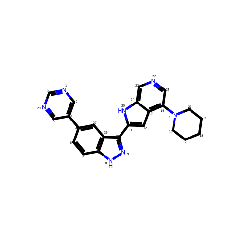 c1ncc(-c2ccc3[nH]nc(-c4cc5c(N6CCCCC6)cncc5[nH]4)c3c2)cn1